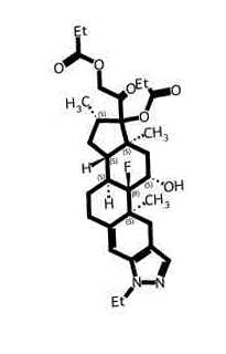 CCC(=O)OCC(=O)C1(OC(=O)CC)[C@@H](C)C[C@H]2[C@@H]3CCC4=Cc5c(cnn5CC)C[C@]4(C)[C@@]3(F)[C@@H](O)C[C@@]21C